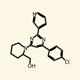 OCC1CCCCN1c1cc(-c2ccc(Cl)cc2)nc(-c2cccnc2)n1